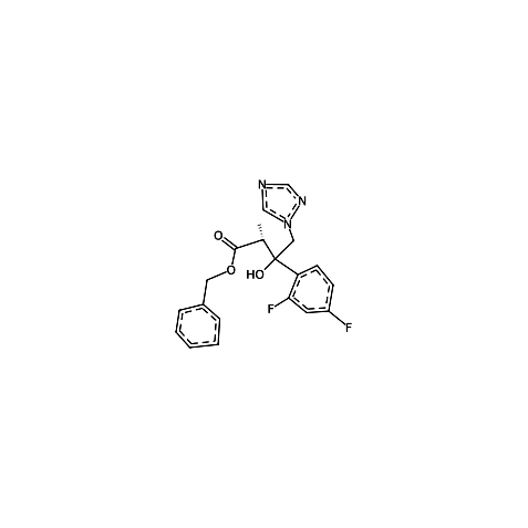 C[C@@H](C(=O)OCc1ccccc1)C(O)(Cn1cncn1)c1ccc(F)cc1F